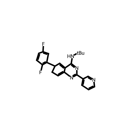 CC(C)(C)Nc1nc(-c2cccnc2)nc2c1=CC(c1cc(F)ccc1F)CC=2